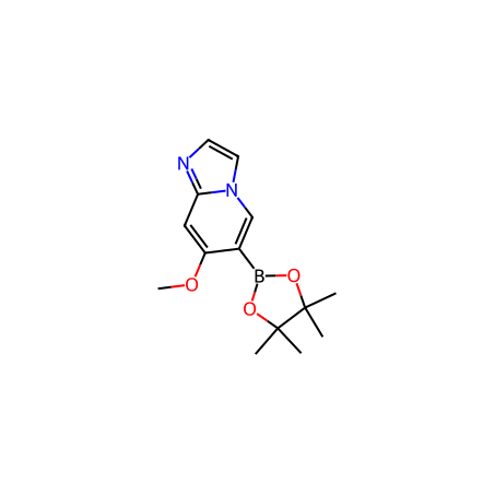 COc1cc2nccn2cc1B1OC(C)(C)C(C)(C)O1